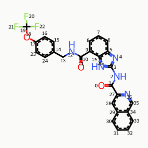 O=C(Nc1nc2cccc(C(=O)NCc3ccc(OC(F)(F)F)cc3)c2[nH]1)c1cc2ccccc2cn1